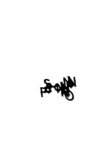 Cn1c(N2CCC(c3csc4cc(F)ccc34)CC2)nc(-c2ccncn2)cc1=O